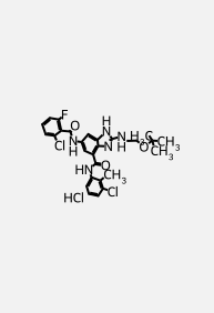 Cc1c(Cl)cccc1NC(=O)c1cc(NC(=O)c2c(F)cccc2Cl)cc2[nH]c(NCCOC(C)(C)C)nc12.Cl